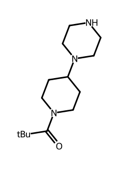 CC(C)(C)C(=O)N1CCC(N2CCNCC2)CC1